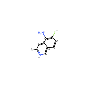 Cc1cc2c(N)c(F)ccc2cn1